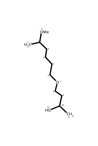 COC(C)CCCCOCCC(C)O